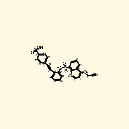 C#CCOc1ccnc2c(S(=O)(=O)Nc3ccccc3C#Cc3ccc(C(=O)O)nc3)cccc12